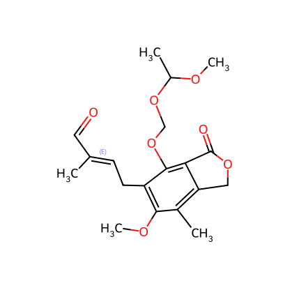 COc1c(C)c2c(c(OCOC(C)OC)c1C/C=C(\C)C=O)C(=O)OC2